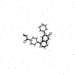 C=CC(=O)N1CCN(c2ncnc3cc(Cl)c(N4CCSCC4)cc23)CC1